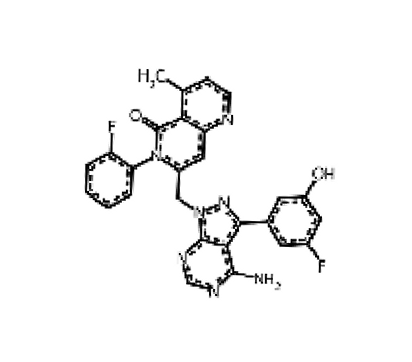 Cc1ccnc2cc(Cn3nc(-c4cc(O)cc(F)c4)c4c(N)ncnc43)n(-c3ccccc3F)c(=O)c12